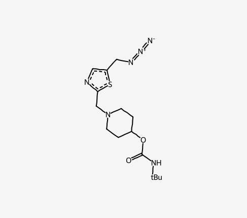 CC(C)(C)NC(=O)OC1CCN(Cc2ncc(CN=[N+]=[N-])s2)CC1